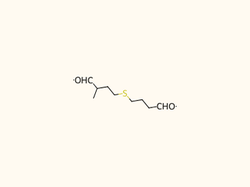 CC([C]=O)CCSCCC[C]=O